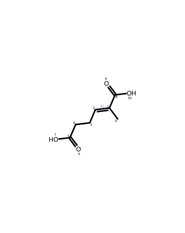 C/C(=C\CCC(=O)O)C(=O)O